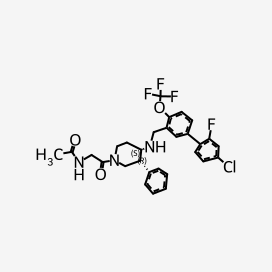 CC(=O)NCC(=O)N1CC[C@H](NCc2cc(-c3ccc(Cl)cc3F)ccc2OC(F)(F)F)[C@H](c2ccccc2)C1